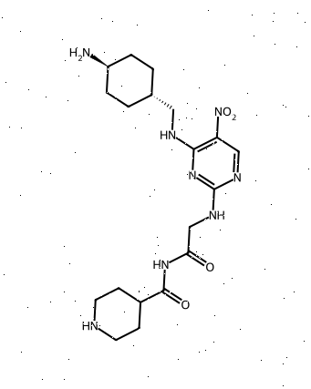 N[C@H]1CC[C@H](CNc2nc(NCC(=O)NC(=O)C3CCNCC3)ncc2[N+](=O)[O-])CC1